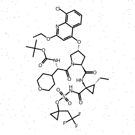 CCOc1cc(O[C@@H]2C[C@@H](C(=O)N[C@]3(C(=O)NS(=O)(=O)OC4(CC(F)(F)F)CC4)C[C@H]3CC)N(C(=O)[C@@H](NC(=O)OC(C)(C)C)C3CCOCC3)C2)c2cccc(Cl)c2n1